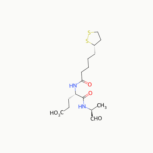 C[C@@H](C=O)NC(=O)[C@H](CCC(=O)O)NC(=O)CCCC[C@H]1CCSS1